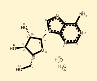 Nc1ncnc2c1ncn2[C@@H]1O[C@H](CO)[C@@H](O)[C@@H]1O.O.O